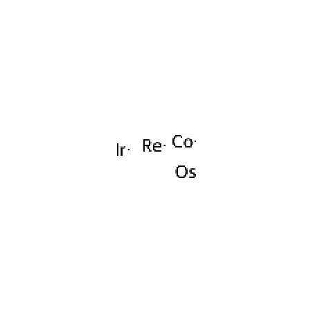 [Co].[Ir].[Os].[Re]